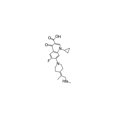 CNCC(C)=C1CCN(c2cc3c(cc2F)c(=O)c(C(=O)O)cn3C2CC2)CC1